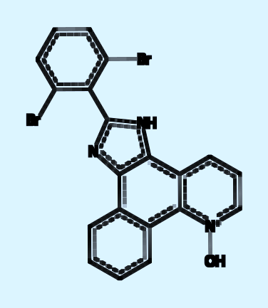 O[n+]1cccc2c3[nH]c(-c4c(Br)cccc4Br)nc3c3ccccc3c21